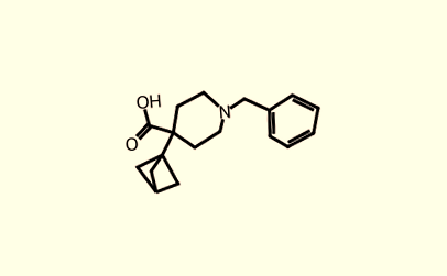 O=C(O)C1(C23CC(C2)C3)CCN(Cc2ccccc2)CC1